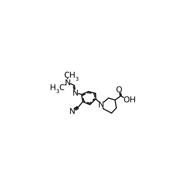 CN(C)/C=N/c1ccc(N2CCCC(C(=O)O)C2)cc1C#N